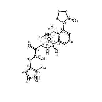 Cc1c(N2CCCC2=O)cccc1S(=O)(=O)N[C@@H](CN)C(=O)N1CCc2[nH]ncc2C1